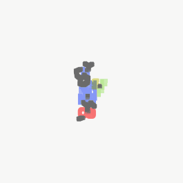 CCOC(=O)c1cnc(/N=N/c2cc3c(cc2NSC(F)F)N(CC(C)C)CCC3)nc1C